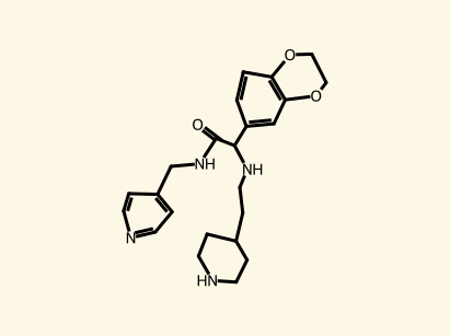 O=C(NCc1ccncc1)C(NCCC1CCNCC1)c1ccc2c(c1)OCCO2